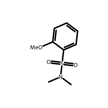 COc1ccccc1S(=O)(=O)N(C)C